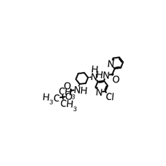 CC(C)(C)OC(=O)N[C@H]1CCC[C@@H](Nc2cnc(Cl)cc2NC(=O)c2ccccn2)C1